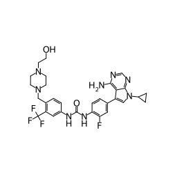 Nc1ncnc2c1c(-c1ccc(NC(=O)Nc3ccc(CN4CCN(CCO)CC4)c(C(F)(F)F)c3)c(F)c1)cn2C1CC1